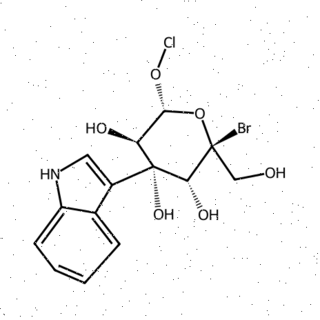 OC[C@@]1(Br)O[C@@H](OCl)[C@H](O)[C@](O)(c2c[nH]c3ccccc23)[C@H]1O